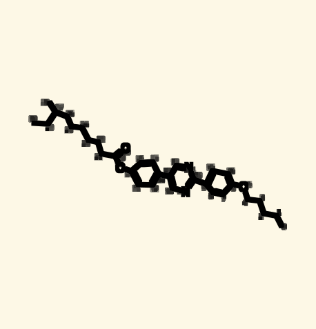 CCCCCOc1ccc(-c2ncc(-c3ccc(OC(=O)CCCCCCC(C)CC)cc3)cn2)cc1